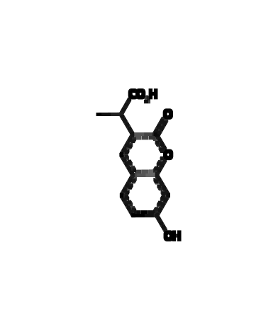 CC(C(=O)O)c1cc2ccc(O)cc2oc1=O